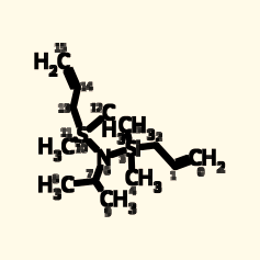 C=CC[Si](C)(C)N(C(C)C)S(C)(C)CC=C